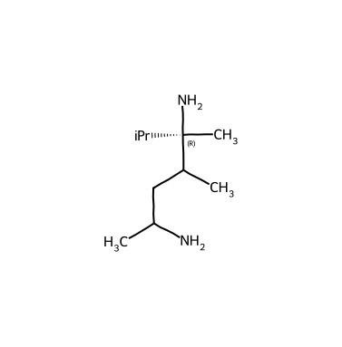 CC(N)CC(C)[C@](C)(N)C(C)C